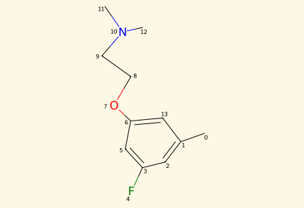 Cc1cc(F)cc(OCCN(C)C)c1